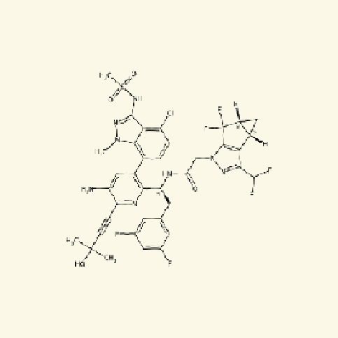 Cn1nc(NS(C)(=O)=O)c2c(Cl)ccc(-c3cc(N)c(C#CC(C)(C)O)nc3[C@H](Cc3cc(F)cc(F)c3)NC(=O)Cn3nc(C(F)F)c4c3C(F)(F)[C@@H]3C[C@H]43)c21